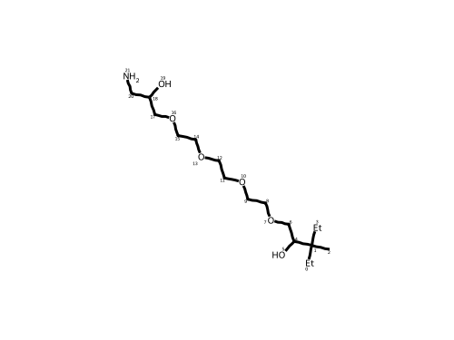 CCC(C)(CC)C(O)COCCOCCOCCOCC(O)CN